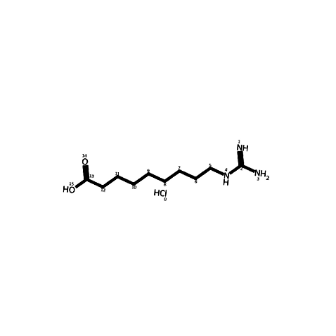 Cl.N=C(N)NCCCCCCCCC(=O)O